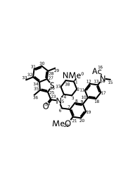 CN[C@H]1CC[C@@H](N(Cc2cc(-c3ccc(N(C)C(C)=O)cc3)ccc2OC)C(=O)c2sc3c(C)ccc(C)c3c2C)CC1